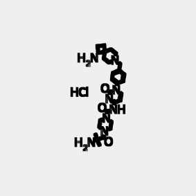 CC(C)(N)C(=O)N1CCN(C(=O)Nc2ccn(-c3ccc(CN4CCC5(CCC5N)CC4)cc3)c(=O)n2)CC1.Cl